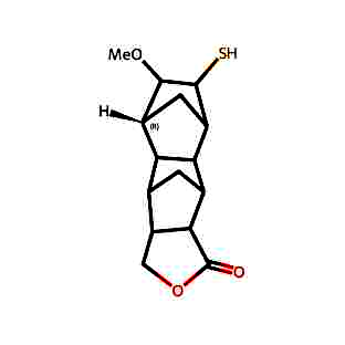 COC1C(S)C2C[C@@H]1C1C3CC(C4C(=O)OCC34)C21